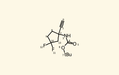 C#CC1(NC(=O)OC(C)(C)C)CCC(F)(F)C1